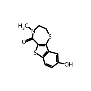 CN1CCSc2c(sc3ccc(O)cc23)C1=O